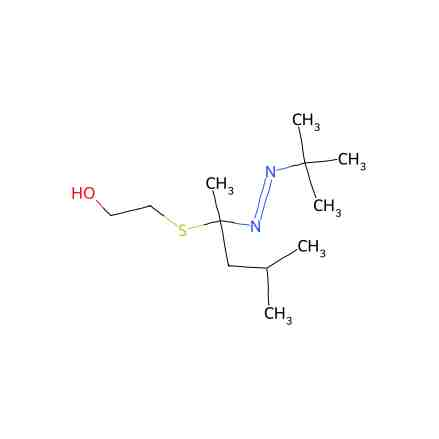 CC(C)CC(C)(N=NC(C)(C)C)SCCO